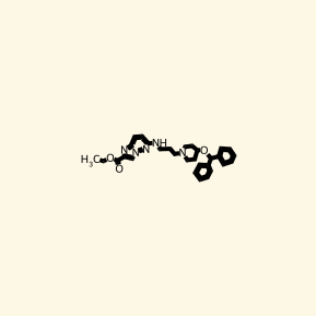 CCOC(=O)c1cn2nc(NCCCN3CCC(OC(c4ccccc4)c4ccccc4)CC3)ccc2n1